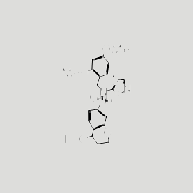 COc1ccc(CN(c2ncns2)S(=O)(=O)c2ccc3c(c2)OCCC3C)c(OC)c1